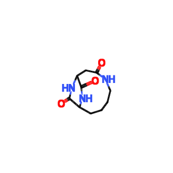 O=C1CC2NC(=O)C(CCCCN1)NC2=O